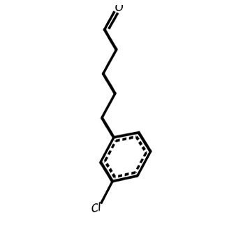 O=CCCCCc1cccc(Cl)c1